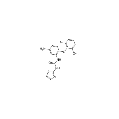 COc1cccc(F)c1Oc1ccc(N)cc1NC(=O)Nc1nccs1